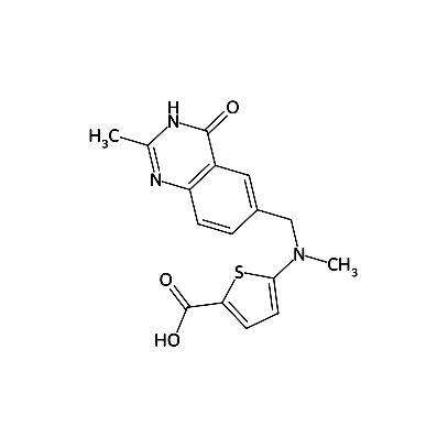 Cc1nc2ccc(CN(C)c3ccc(C(=O)O)s3)cc2c(=O)[nH]1